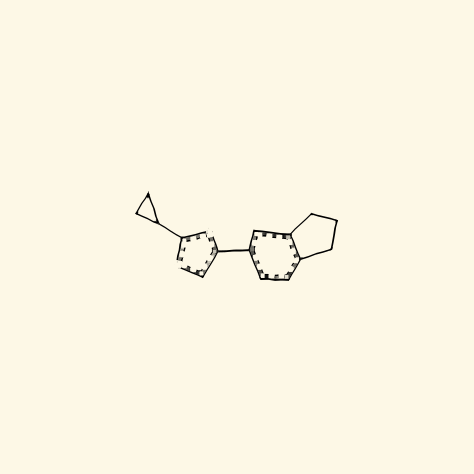 c1cc2c(cc1-c1csc(C3CC3)n1)CCC2